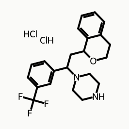 Cl.Cl.FC(F)(F)c1cccc(C(CC2OCCc3ccccc32)N2CCNCC2)c1